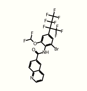 O=C(Nc1c(Br)cc(C(F)(C(F)(F)F)C(F)(F)C(F)(F)F)cc1OC(F)F)c1ccc2ncccc2c1